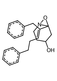 OC1CCN2OC2(C(=CCCc2ccccc2)Cc2ccccc2)C1